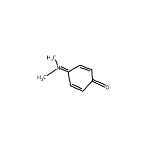 C[N+](C)=C1C=CC(=O)C=C1